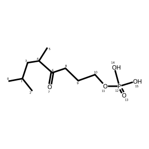 CC(C)CC(C)C(=O)CCCOP(=O)(O)O